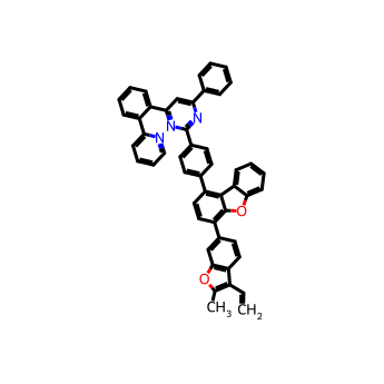 C=Cc1c(C)oc2cc(-c3ccc(-c4ccc(-c5nc(-c6ccccc6)cc(-c6ccccc6-c6ccccn6)n5)cc4)c4c3oc3ccccc34)ccc12